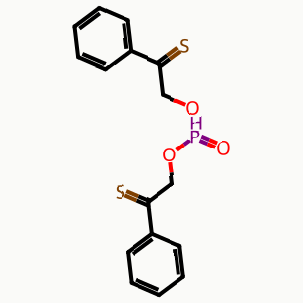 O=[PH](OCC(=S)c1ccccc1)OCC(=S)c1ccccc1